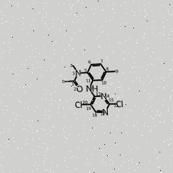 CC(=O)N(C)c1ccc(C)cc1Nc1nc(Cl)ncc1Cl